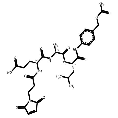 CC(=O)OCc1ccc(NC(=O)[C@H](CC(C)C)NC(=O)[C@H](C)NC(=O)[C@H](CCC(=O)O)NC(=O)CCN2C(=O)C=CC2=O)cc1